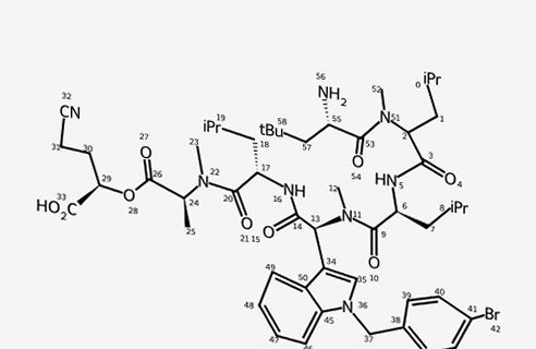 CC(C)CC(C(=O)N[C@@H](CC(C)C)C(=O)N(C)[C@H](C(=O)N[C@@H](CC(C)C)C(=O)N(C)[C@@H](C)C(=O)O[C@H](CCC#N)C(=O)O)c1cn(Cc2ccc(Br)cc2)c2ccccc12)N(C)C(=O)[C@@H](N)CC(C)(C)C